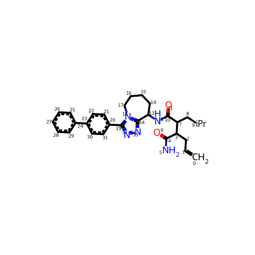 C=CCC(C(N)=O)C(CC(C)C)C(=O)NC1CCCCn2c(-c3ccc(-c4ccccc4)cc3)nnc21